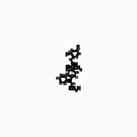 CC1(C(=O)NCc2ccc(F)cc2F)CCc2c(c3ccccc3n2CC(=O)O)C1